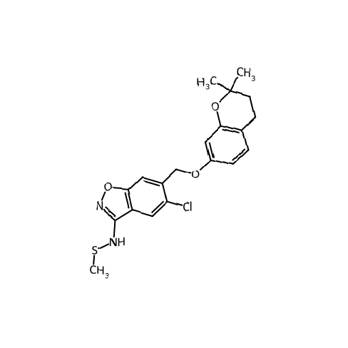 CSNc1noc2cc(COc3ccc4c(c3)OC(C)(C)CC4)c(Cl)cc12